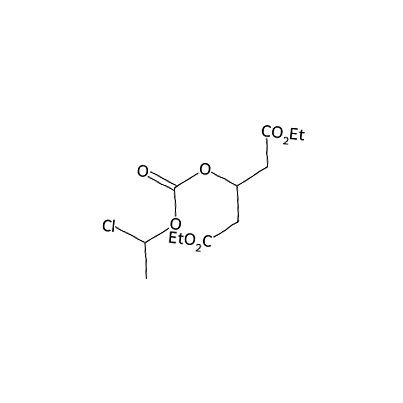 CCOC(=O)CC(CC(=O)OCC)OC(=O)OC(C)Cl